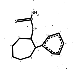 NC(=S)NC1CCCCCC1c1ccccc1